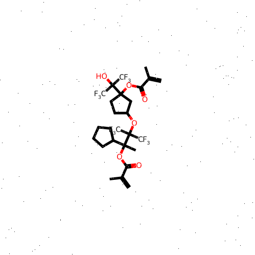 C=C(C)C(=O)OC1(C(O)(C(F)(F)F)C(F)(F)F)CCC(OC(C(F)(F)F)(C(F)(F)F)C(C)(OC(=O)C(=C)C)C2CCCC2)C1